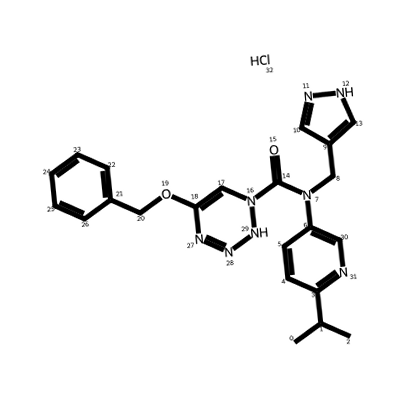 CC(C)c1ccc(N(Cc2cn[nH]c2)C(=O)N2C=C(OCc3ccccc3)N=NN2)cn1.Cl